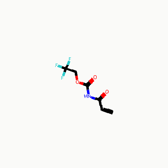 C=CC(=O)NC(=O)OCC(F)(F)F